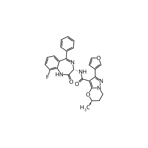 C[C@@H]1CCn2nc(-c3ccoc3)c(C(=O)N[C@H]3N=C(c4ccccc4)c4cccc(F)c4NC3=O)c2O1